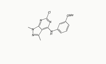 COc1cccc(Nc2nc(Cl)nc3c2c(C)nn3C)c1